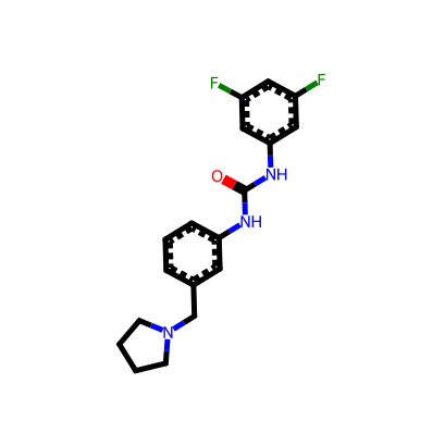 O=C(Nc1cc(F)cc(F)c1)Nc1cccc(CN2CCCC2)c1